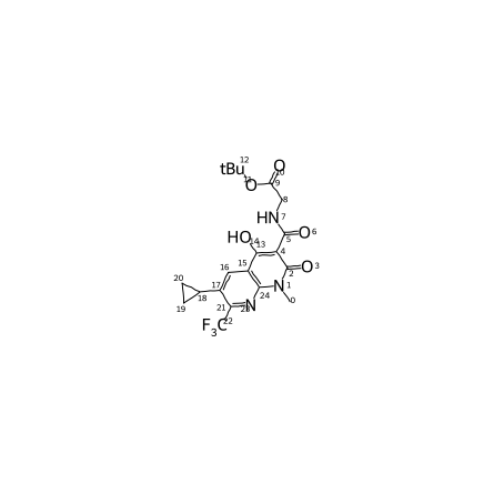 Cn1c(=O)c(C(=O)NCC(=O)OC(C)(C)C)c(O)c2cc(C3CC3)c(C(F)(F)F)nc21